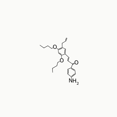 C=CCc1cc(C=CC(=O)c2ccc(N)cc2)c(OCCCC)cc1OCCCC